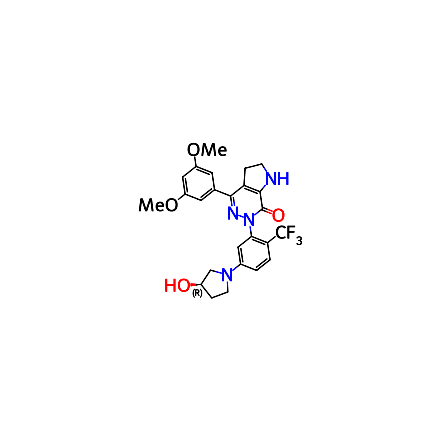 COc1cc(OC)cc(-c2nn(-c3cc(N4CC[C@@H](O)C4)ccc3C(F)(F)F)c(=O)c3c2CCN3)c1